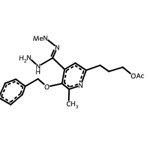 CN/N=C(\NN)c1cc(CCCOC(C)=O)nc(C)c1OCc1ccccc1